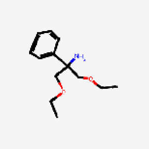 CCOCC(N)(COCC)c1ccccc1